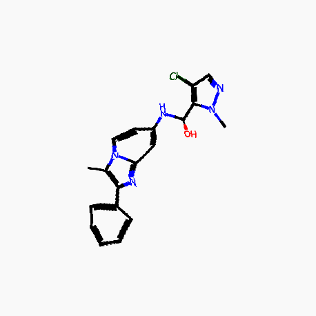 Cc1c(-c2ccccc2)nc2cc(N[C@H](O)c3c(Cl)cnn3C)ccn12